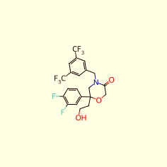 O=C1COC(CCO)(c2ccc(F)c(F)c2)CN1Cc1cc(C(F)(F)F)cc(C(F)(F)F)c1